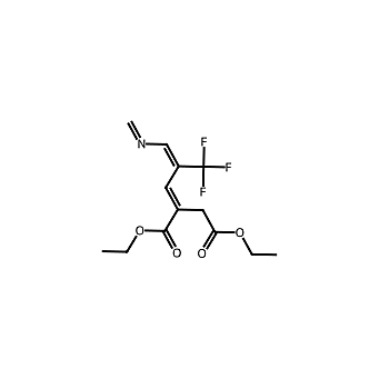 C=N/C=C(\C=C(/CC(=O)OCC)C(=O)OCC)C(F)(F)F